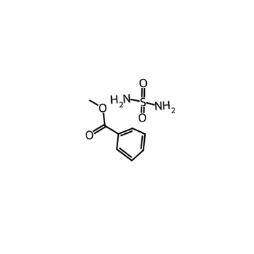 COC(=O)c1ccccc1.NS(N)(=O)=O